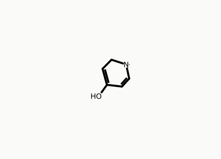 OC1=CC[N]C=C1